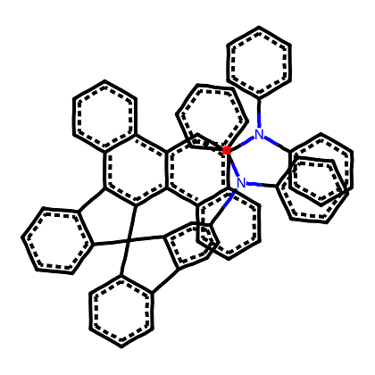 c1ccc(N(c2ccccc2)c2ccc3c(c2)C2(c4ccccc4-3)c3ccccc3-c3c2c2c4ccccc4c(N(c4ccccc4)c4ccccc4)cc2c2ccccc32)cc1